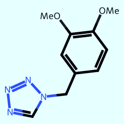 COc1ccc(Cn2cnnn2)cc1OC